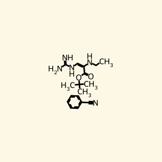 CCNC(=CNC(=N)N)C(=O)OC(C)(C)C.N#Cc1ccccc1